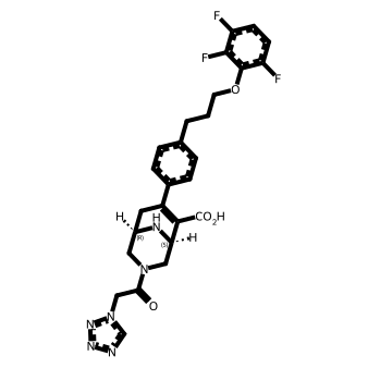 O=C(O)C1=C(c2ccc(CCCOc3c(F)ccc(F)c3F)cc2)C[C@@H]2CN(C(=O)Cn3cnnn3)C[C@H]1N2